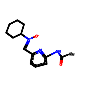 CC(C)(C)C(=O)Nc1cccc(C=[N+]([O-])C2CCCCC2)n1